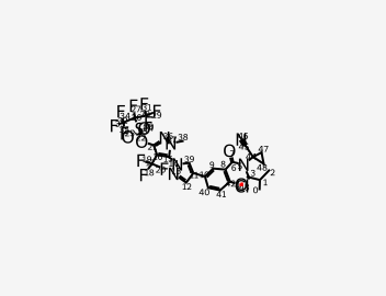 CC(C)C(=O)N(C(=O)c1cc(-c2cnn(-c3c(C(F)(F)F)c(OS(=O)(=O)C(F)(C(F)(F)F)C(F)(F)F)nn3C)c2)ccc1Cl)C1(C#N)CC1